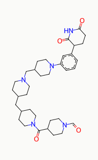 O=CN1CCC(C(=O)N2CCC(CC3CCN(CC4CCN(c5cccc(C6CCC(=O)NC6=O)c5)CC4)CC3)CC2)CC1